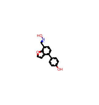 O/N=C/c1ccc(-c2ccc(O)cc2)c2ccoc12